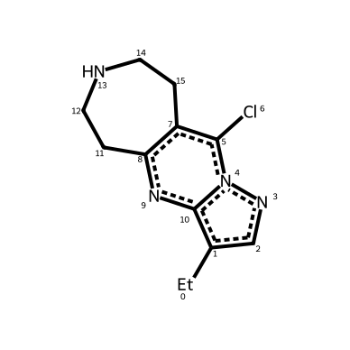 CCc1cnn2c(Cl)c3c(nc12)CCNCC3